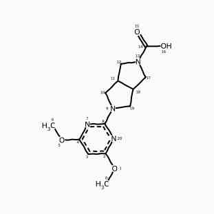 COc1cc(OC)nc(N2CC3CN(C(=O)O)CC3C2)n1